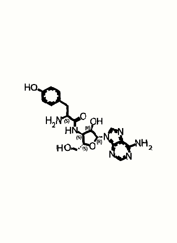 Nc1ncnc2c1ncn2[C@@H]1O[C@H](CO)[C@@H](NC(=O)[C@@H](N)Cc2ccc(O)cc2)[C@H]1O